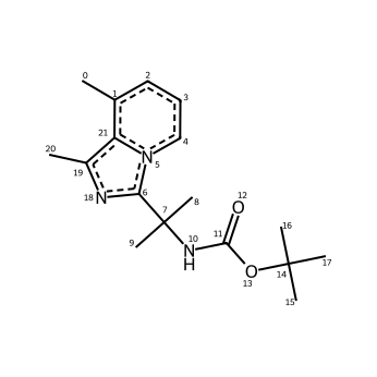 Cc1cccn2c(C(C)(C)NC(=O)OC(C)(C)C)nc(C)c12